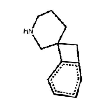 c1ccc2c(c1)CC21CCCNC1